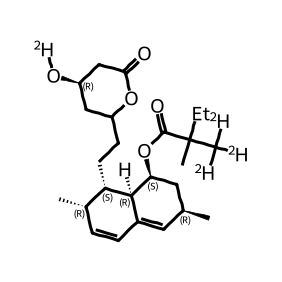 [2H]O[C@H]1CC(=O)OC(CC[C@@H]2[C@@H]3C(=C[C@H](C)C[C@@H]3OC(=O)C(C)(CC)C([2H])([2H])[2H])C=C[C@@H]2C)C1